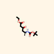 CCOC(=O)CC(=O)C[C@H](C)NC(=O)OC(C)(C)C